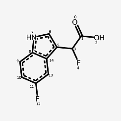 O=C(O)C(F)c1c[nH]c2ccc(F)cc12